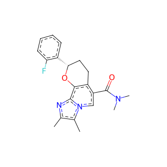 Cc1nc2c3c(c(C(=O)N(C)C)cn2c1C)CC[C@@H](c1ccccc1F)O3